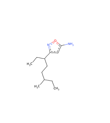 CCC(C)CCC(CC)c1cc(N)on1